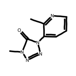 Cc1ncccc1-n1nnn(C)c1=O